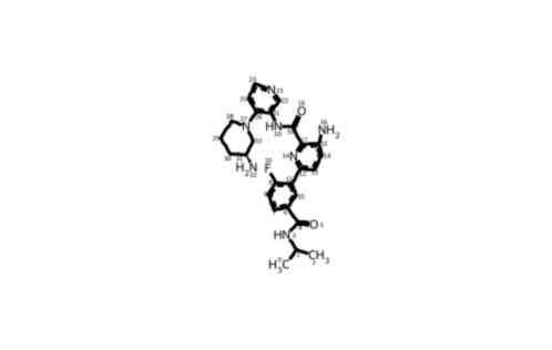 CC(C)NC(=O)c1ccc(F)c(-c2ccc(N)c(C(=O)Nc3cnccc3N3CCC[C@H](N)C3)n2)c1